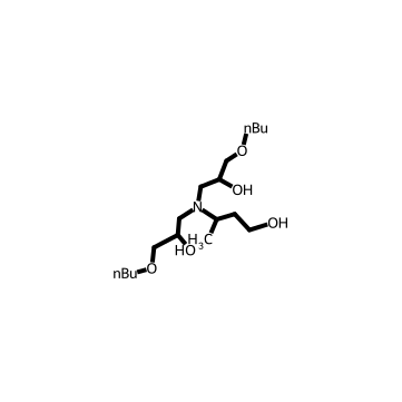 CCCCOCC(O)CN(CC(O)COCCCC)C(C)CCO